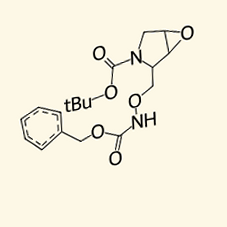 CC(C)(C)OC(=O)N1CC2OC2C1CONC(=O)OCc1ccccc1